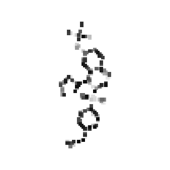 CCc1ccc(S(=O)(=O)c2cnc3ccc(OC(F)(F)F)cc3c2-n2cncn2)cc1